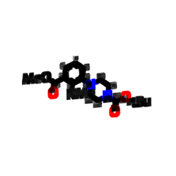 CNc1c(C(=O)OC)cccc1N1CCN(C(=O)OC(C)(C)C)CC1